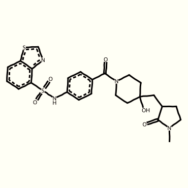 CN1CCC(CC2(O)CCN(C(=O)c3ccc(NS(=O)(=O)c4cccc5scnc45)cc3)CC2)C1=O